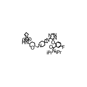 CC(C)N(C(=O)c1cc(F)ccc1Oc1nncnc1N1CC2(CCN(C[C@@H]3CC[C@@H](NS(=O)(=O)N4CCC4)CO3)CC2)C1)C(C)C